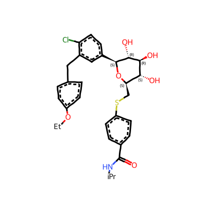 CCOc1ccc(Cc2cc([C@@H]3O[C@H](CSc4ccc(C(=O)NC(C)C)cc4)[C@@H](O)[C@H](O)[C@H]3O)ccc2Cl)cc1